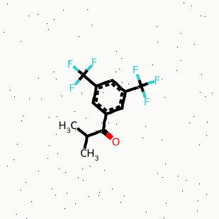 CC(C)C(=O)c1cc(C(F)(F)F)cc(C(F)(F)F)c1